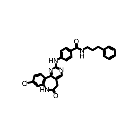 O=C1Cc2cnc(Nc3ccc(C(=O)NCCCc4ccccc4)cc3)nc2-c2ccc(Cl)cc2N1